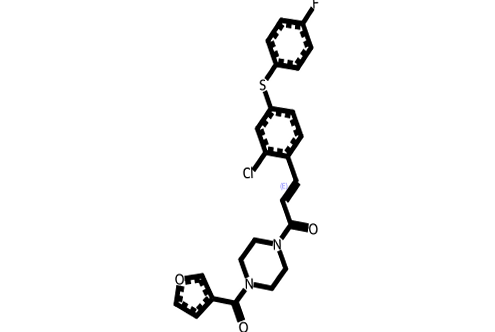 O=C(/C=C/c1ccc(Sc2ccc(F)cc2)cc1Cl)N1CCN(C(=O)c2ccoc2)CC1